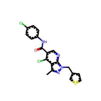 Cc1nn(Cc2ccsc2)c2ncc(C(=O)Nc3ccc(Cl)cc3)c(Cl)c12